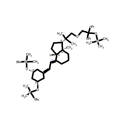 CCCC(CCC)(COCC(C)(C)[C@H]1CC[C@H]2/C(=C/C=C3C[C@@H](O[Si](C)(C)C(C)(C)C)C[C@H](O[Si](C)(C)C(C)(C)C)C3)CCC[C@]12C)O[Si](C)(C)C